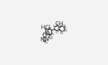 Cc1cc(-c2cnnc(Cn3ccnc3C)c2)cc2ccccc12.Cl